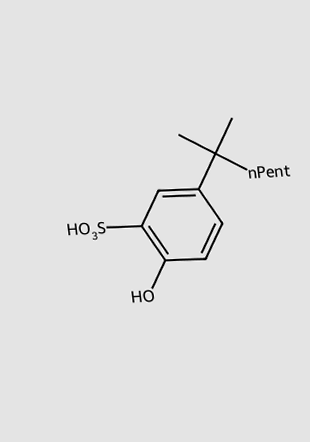 CCCCCC(C)(C)c1ccc(O)c(S(=O)(=O)O)c1